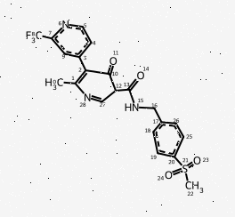 CC1=C(c2ccnc(C(F)(F)F)c2)C(=O)C(C(=O)NCc2ccc(S(C)(=O)=O)cc2)C=N1